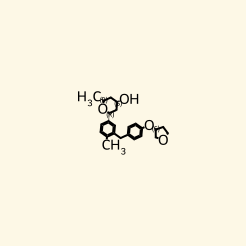 Cc1ccc([C@H]2C[C@@H](O)C[C@@H](C)O2)cc1Cc1ccc(O[C@H]2CCOC2)cc1